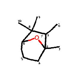 [CH2]C1C2(C)CCC(O2)C1(C)C